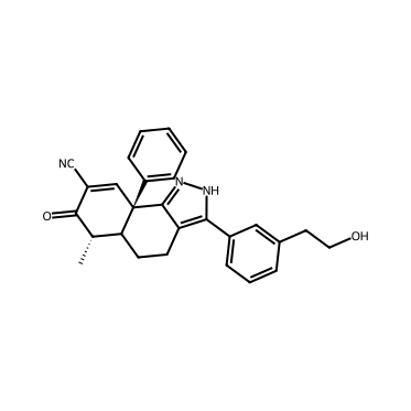 C[C@@H]1C(=O)C(C#N)=C[C@]2(c3ccccc3)c3n[nH]c(-c4cccc(CCO)c4)c3CCC12